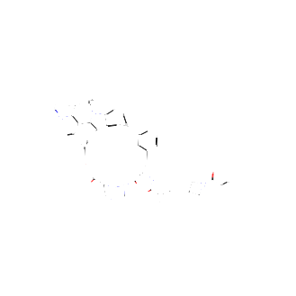 C=CC(=O)N1CC(OC[C@H](C(=O)N[C@H]2Cc3cccc(c3)-c3ccc4c(c3)c(c(/C(C=C)=C(/N=C\C)[C@H](C)OC)n4CC(F)(F)F)CC(C)(C)COC(=O)[C@@H]3CCCN(N3)C2=O)C(C)C)C1